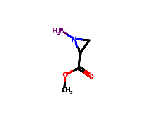 COC(=O)C1CN1P